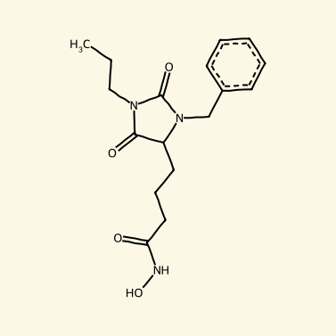 CCCN1C(=O)C(CCCC(=O)NO)N(Cc2ccccc2)C1=O